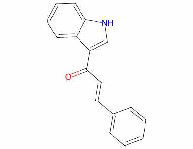 O=C(C=Cc1ccccc1)c1c[nH]c2ccccc12